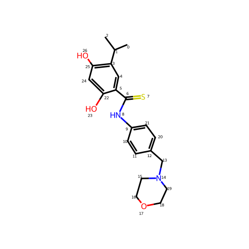 CC(C)c1cc(C(=S)Nc2ccc(CN3CCOCC3)cc2)c(O)cc1O